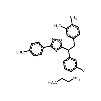 Cc1ccc(CC(c2cccc(Cl)c2)c2nc(-c3ccc(C=O)cc3)no2)cc1C.NCCC(=O)O